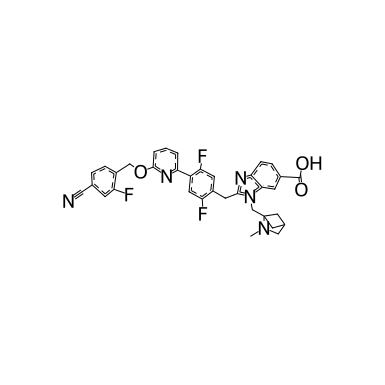 CN1CC2CC1(Cn1c(Cc3cc(F)c(-c4cccc(OCc5ccc(C#N)cc5F)n4)cc3F)nc3ccc(C(=O)O)cc31)C2